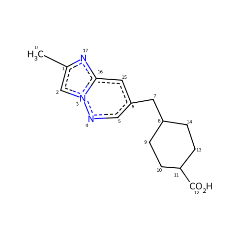 Cc1cn2ncc(CC3CCC(C(=O)O)CC3)cc2n1